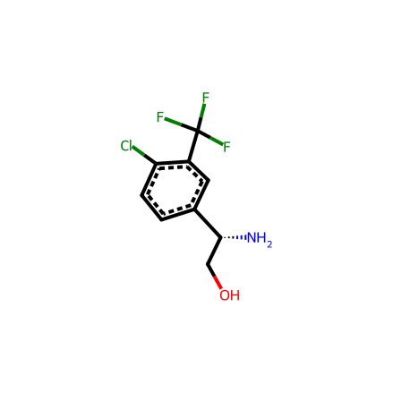 N[C@H](CO)c1ccc(Cl)c(C(F)(F)F)c1